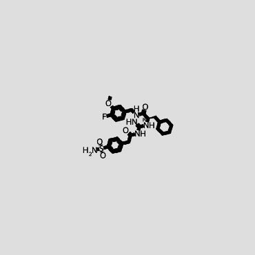 COc1cc(CNC(=O)[C@@H](CC2CCCCC2)NC(=N)NC(=O)Cc2ccc(S(N)(=O)=O)cc2)ccc1F